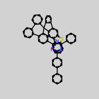 c1ccc(-c2ccc(-c3nc(-c4ccccc4)nc(-c4ccc5c(c4)C4(c6ccccc6-c6ccccc6-5)c5ccccc5-c5cc6sc7ccccc7c6cc54)n3)cc2)cc1